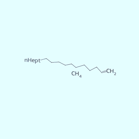 C.C=CCCCCCCCCCCCCCCCC